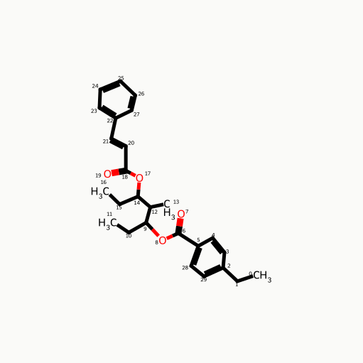 CCc1ccc(C(=O)OC(CC)C(C)C(CC)OC(=O)C=Cc2ccccc2)cc1